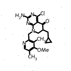 COc1c(C)cnc(CN2CC(CC3CC3)C(=O)c3c(Cl)nc(N)nc32)c1C